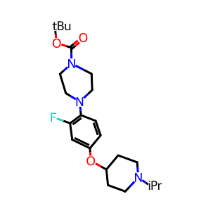 CC(C)N1CCC(Oc2ccc(N3CCN(C(=O)OC(C)(C)C)CC3)c(F)c2)CC1